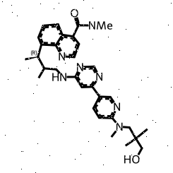 CNC(=O)c1ccnc2c([C@H](C)C(C)CNc3cc(-c4ccc(N(C)CC(C)(C)CO)nc4)ncn3)cccc12